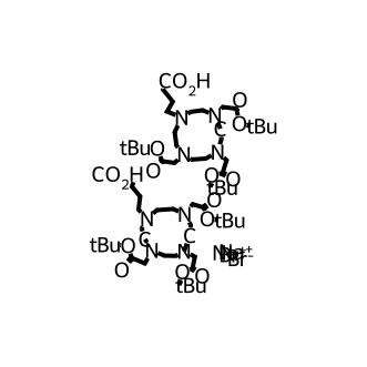 CC(C)(C)OC(=O)CN1CCN(CCCC(=O)O)CCN(CC(=O)OC(C)(C)C)CCN(CC(=O)OC(C)(C)C)CC1.CC(C)(C)OC(=O)CN1CCN(CCCC(=O)O)CCN(CC(=O)OC(C)(C)C)CCN(CC(=O)OC(C)(C)C)CC1.[Br-].[Br-].[Na+].[Na+]